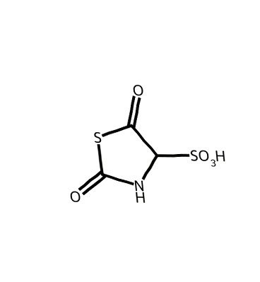 O=C1NC(S(=O)(=O)O)C(=O)S1